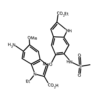 CCOC(=O)c1cc2cc(OC)c(NS(C)(=O)=O)cc2[nH]1.CCn1c(C(=O)O)cc2cc(OC)c(N)cc21